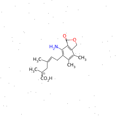 CC(=CCc1c(C)c(C)c2c(c1N)C(=O)OC2)C[C@H](C)C(=O)O